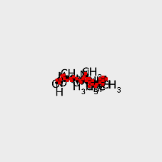 COc1cc(N2CCN(C(=O)CN3CCC(c4ccc5c(c4)c(C)nn5C4CCC(=O)NC4=O)CC3)CC2)c(-c2cnn(C)c2)cc1Nc1ncc(Br)c(Nc2ccc3ccccc3c2P(C)C)n1